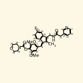 COc1cc(/C=C2/C(C)=C(CNC(=O)Cc3cccnc3)c3cc(F)ccc32)cc(OC)c1OC(=O)N1CCOCC1